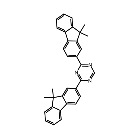 CC1(C)c2ccccc2-c2ccc(-c3ncnc(-c4ccc5c(c4)C(C)(C)c4ccccc4-5)n3)cc21